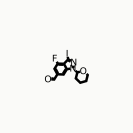 O=Cc1cc(F)c2c(I)nn(C3CCCCO3)c2c1